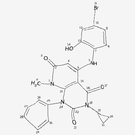 Cn1c(=O)cc(Nc2ccc(Br)cc2O)c2c(=O)n(C3CC3)c(=O)n(-c3ccccc3)c21